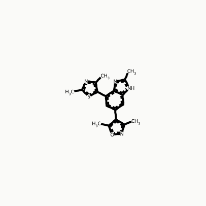 Cc1nc2c(-c3sc(C)nc3C)cc(-c3c(C)noc3C)cc2[nH]1